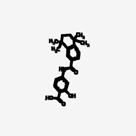 CC1(C)CCC(C)(C)c2cc(C(=O)Nc3ccc(C(=O)O)c(O)c3)ccc21